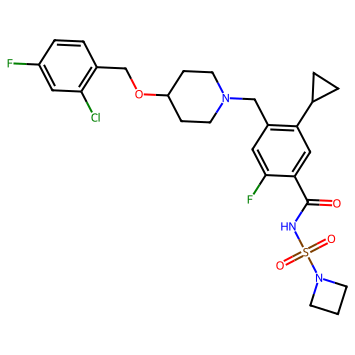 O=C(NS(=O)(=O)N1CCC1)c1cc(C2CC2)c(CN2CCC(OCc3ccc(F)cc3Cl)CC2)cc1F